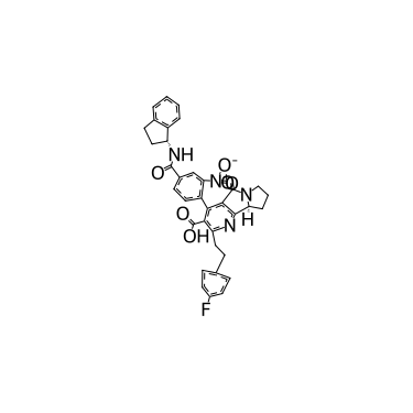 O=C(N[C@@H]1CCc2ccccc21)c1ccc(-c2c(C(=O)O)c(CCc3ccc(F)cc3)nc3c2C(=O)N2CCC[C@@H]32)c([N+](=O)[O-])c1